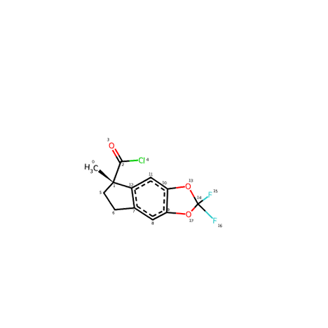 C[C@]1(C(=O)Cl)CCc2cc3c(cc21)OC(F)(F)O3